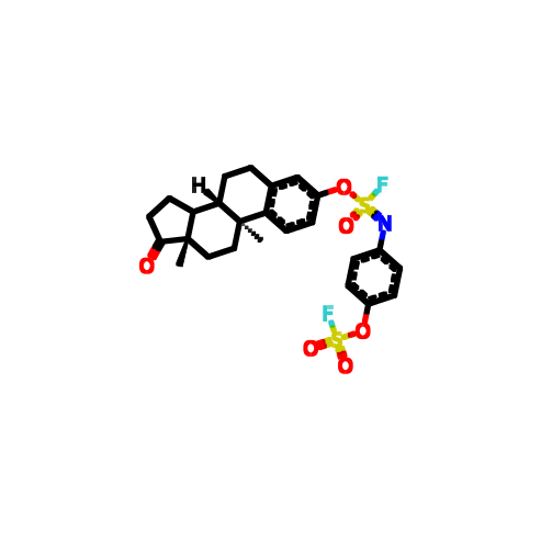 C[C@]12CC[C@]3(C)c4ccc(OS(=O)(F)=Nc5ccc(OS(=O)(=O)F)cc5)cc4CC[C@H]3C1CCC2=O